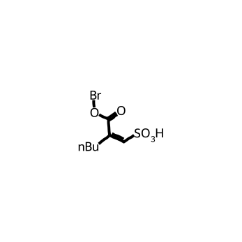 CCCCC(=CS(=O)(=O)O)C(=O)OBr